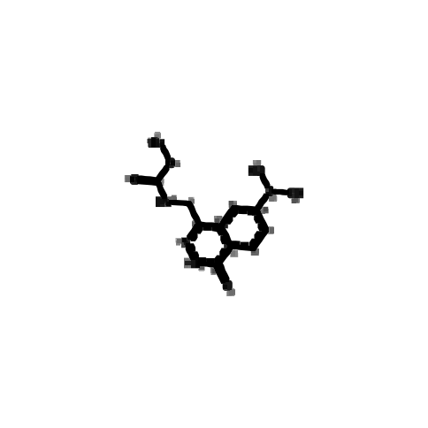 CC(C)(C)OC(=O)NCc1n[nH]c(=O)c2ccc(B(O)O)cc12